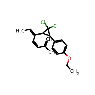 C=C(C)/C=C\C(=C/C)C1C(c2ccc(OCC)cc2)C1(Cl)Cl